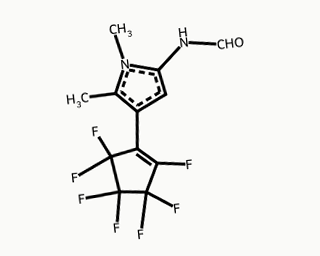 Cc1c(C2=C(F)C(F)(F)C(F)(F)C2(F)F)cc(NC=O)n1C